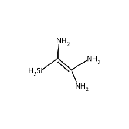 NC(N)=C(N)[SiH3]